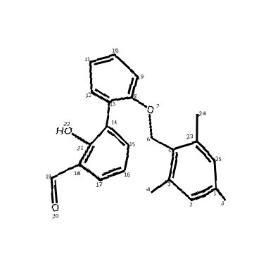 Cc1cc(C)c(COc2ccccc2-c2cccc(C=O)c2O)c(C)c1